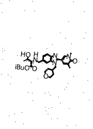 Cc1cc(-c2nc3ccc(CN[C@H](C(=O)OCC(C)C)[C@@H](C)O)cc3n2CC2CCOCC2)cn(C)c1=O